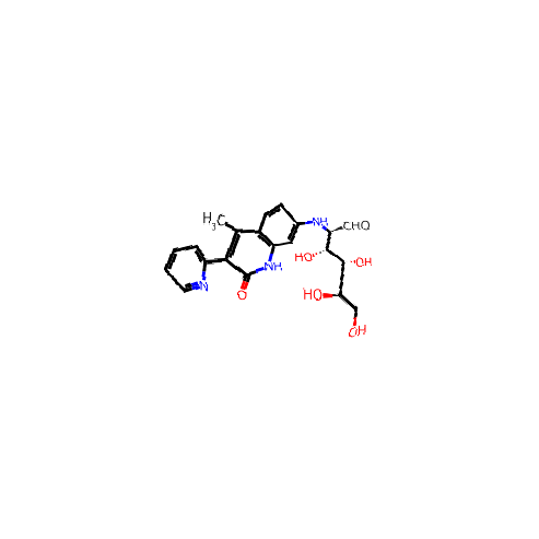 Cc1c(-c2ccccn2)c(=O)[nH]c2cc(N[C@@H](C=O)[C@@H](O)[C@H](O)[C@H](O)CO)ccc12